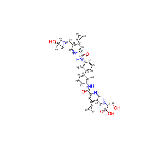 Cc1c(NC(=O)c2cc(C3CC3)c(CN[C@H](CO)C(=O)O)cn2)cccc1-c1cccc(NC(=O)c2cc(C3CC3)c(CN3CC(C)(O)C3)cn2)c1C